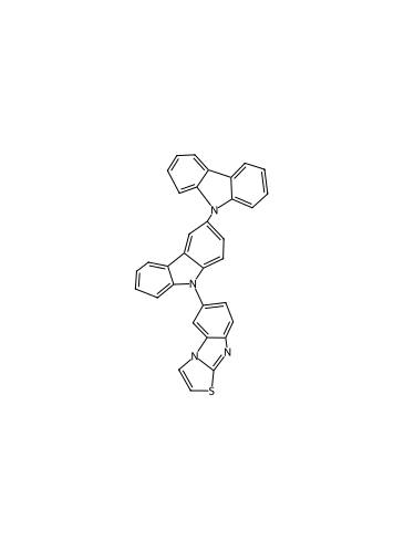 c1ccc2c(c1)c1ccccc1n2-c1ccc2c(c1)c1ccccc1n2-c1ccc2nc3sccn3c2c1